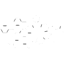 CC[C@H](C)[C@H](NC(=O)[C@H](CCC(N)=O)NC(=O)[C@@H]1CCCN1C(=O)[C@H](Cc1ccccc1)NC(=O)[C@H](CC(N)=O)NC(=O)[C@H](Cc1ccccc1)NC(=O)[C@@H](N)CO)C(=O)N[C@H](C(=O)O)[C@@H](C)O